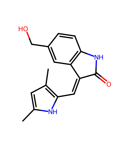 Cc1cc(C)c(C=C2C(=O)Nc3ccc(CO)cc32)[nH]1